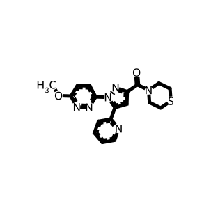 COc1ccc(-n2nc(C(=O)N3CCSCC3)cc2-c2ccccn2)nn1